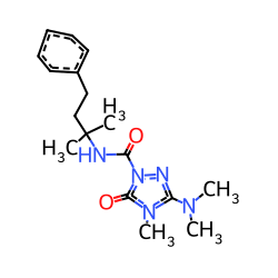 CN(C)c1nn(C(=O)NC(C)(C)CCc2ccccc2)c(=O)n1C